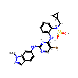 Cn1ncc2ccc(Nc3ncc(Br)c(Nc4ccccc4N(CC4CC4)[SH](=O)=O)n3)cc21